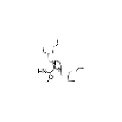 CCCCC(CC)Cn1cc[n+](CC(CC)CCCC)c1C(=N)OC